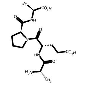 CC(C)[C@H](NC(=O)[C@@H]1CCCN1C(=O)[C@H](CCC(=O)O)NC(=O)[C@H](C)N)C(=O)O